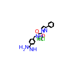 CCO[C@@H](C(=O)NCc1ccc(C(=N)N)cc1)n1ccc(-c2ccccc2)n1.Cl